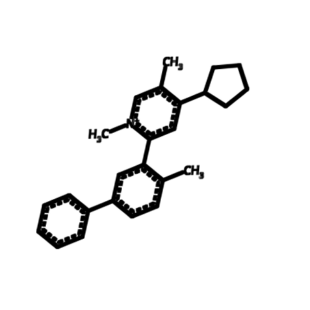 Cc1ccc(-c2ccccc2)cc1-c1cc(C2CCCC2)c(C)c[n+]1C